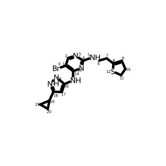 Brc1cnc(NCCC2=CCCS2)nc1Nc1cc(C2CC2)n[nH]1